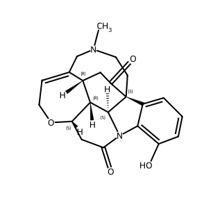 CN1CC[C@]23C(=O)C[C@H]4C(=CCO[C@H]5CC(=O)N(c6c(O)cccc62)[C@H]3[C@H]54)C1